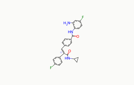 Nc1cc(F)ccc1NC(=O)c1ccc(/C=C(\C(=O)NC2CC2)c2ccc(F)cc2)cc1